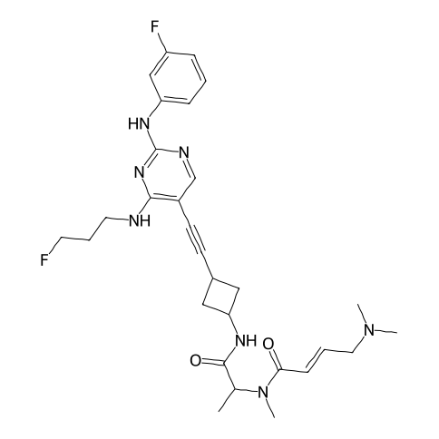 CC(C(=O)NC1CC(C#Cc2cnc(Nc3cccc(F)c3)nc2NCCCF)C1)N(C)C(=O)C=CCN(C)C